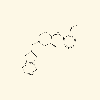 COc1ccccc1O[C@@H]1CCN(CC2Cc3ccccc3C2)C[C@@H]1C